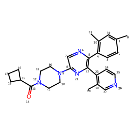 Cc1ccc(-c2ncc(N3CCN(C(=O)C4CCC4)CC3)nc2-c2ccncc2C)c(C)c1